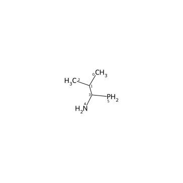 CC(C)C(N)P